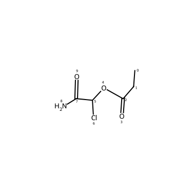 CCC(=O)OC(Cl)C(N)=O